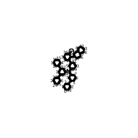 c1ccc(-c2cccc(N(c3cc(-c4ccccc4)cc(-c4ccccc4)c3)c3cccc(-c4cccc5oc6c7ccccc7ccc6c45)c3)c2)cc1